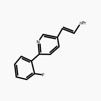 CCCC=Cc1ccc(-c2ccccc2F)nc1